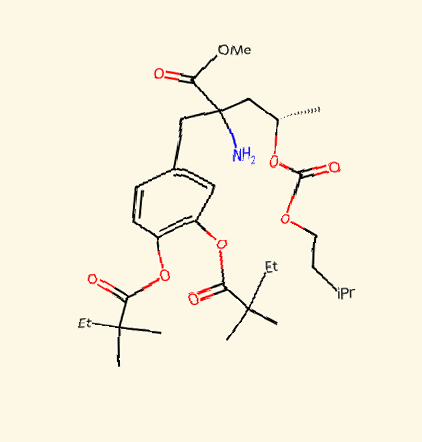 CCC(C)(C)C(=O)Oc1ccc(CC(N)(C[C@H](C)OC(=O)OCCC(C)C)C(=O)OC)cc1OC(=O)C(C)(C)CC